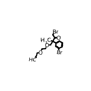 C#CCOCCOCC(C)(C(=O)CBr)c1cccc(Br)c1